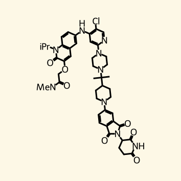 CNC(=O)COc1cc2cc(Nc3cc(N4CCN(C(C)(C)C5CCN(c6ccc7c(c6)C(=O)N(C6CCC(=O)NC6=O)C7=O)CC5)CC4)ncc3Cl)ccc2n(C(C)C)c1=O